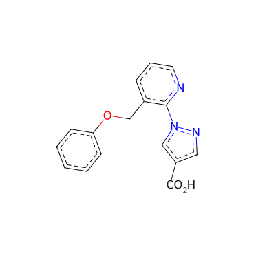 O=C(O)c1cnn(-c2ncccc2COc2ccccc2)c1